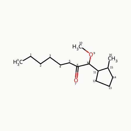 CCCCCCC(=O)C(OC)C1CCCC1C